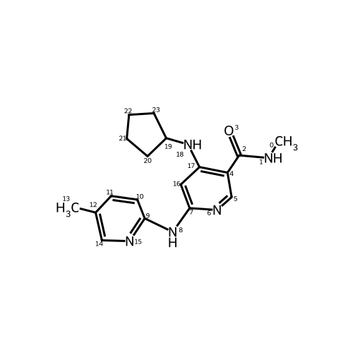 CNC(=O)c1cnc(Nc2ccc(C)cn2)cc1NC1CCCC1